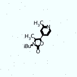 CCC(C)N1C(=O)O[C@H](c2ccnc(C)c2)[C@@H]1C